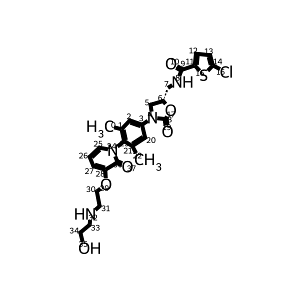 Cc1cc(N2C[C@H](CNC(=O)c3ccc(Cl)s3)OC2=O)cc(C)c1-n1cccc(OCCNCCO)c1=O